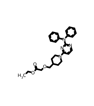 CCOC(=O)COCC1CCN(c2ccnc(N(c3ccccc3)c3ccccc3)n2)CC1